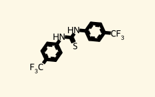 FC(F)(F)c1ccc(NC(=S)Nc2ccc(C(F)(F)F)cc2)cc1